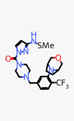 CSNc1ccn(C(=O)N2CCN(Cc3ccc(C(F)(F)F)c(N4C5CCC4COC5)c3)CC2)n1